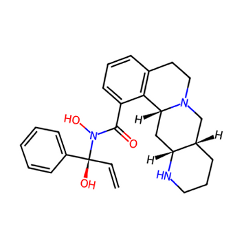 C=C[C@](O)(c1ccccc1)N(O)C(=O)c1cccc2c1[C@H]1C[C@H]3NCCC[C@H]3CN1CC2